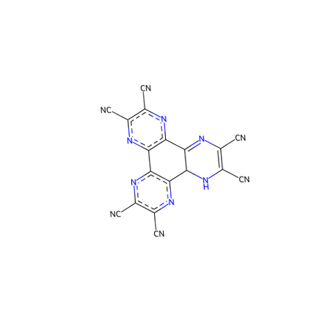 N#CC1=C(C#N)NC2C(=N1)c1nc(C#N)c(C#N)nc1-c1nc(C#N)c(C#N)nc12